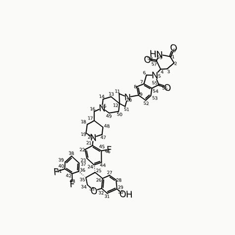 O=C1CCC(N2Cc3cc(N4CC5(CCN(CC6CCN(c7ccc([C@@H]8c9ccc(O)cc9OC[C@@H]8c8cccc(F)c8F)cc7F)CC6)CC5)C4)ccc3C2=O)C(=O)N1